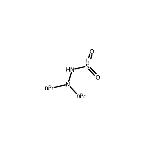 CCCN(CCC)N[SH](=O)=O